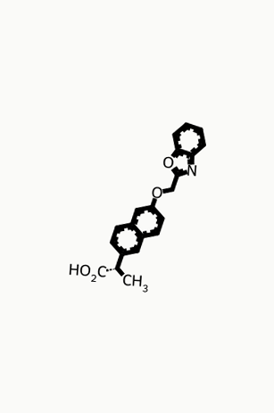 C[C@H](C(=O)O)c1ccc2cc(OCc3nc4ccccc4o3)ccc2c1